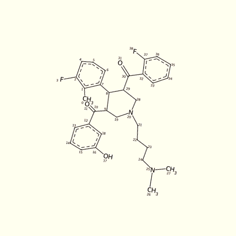 Cc1c(F)cccc1C1C(C(=O)c2cccc(O)c2)CN(CCCCN(C)C)CC1C(=O)c1ccccc1F